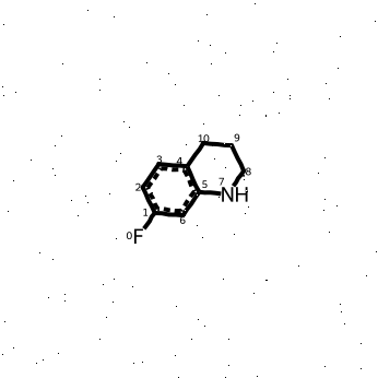 Fc1ccc2c(c1)N[CH]CC2